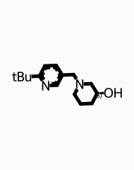 CC(C)(C)c1ccc(CN2CCC[C@H](O)C2)cn1